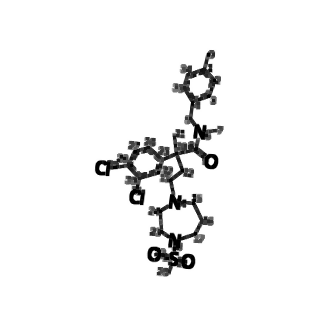 Cc1ccc(CN(C)C(=O)C(C)(CCN2CCCN(S(C)(=O)=O)CC2)c2ccc(Cl)c(Cl)c2)cc1